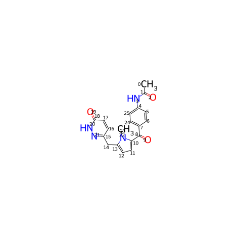 CC(=O)Nc1ccc(C(=O)c2ccc(Cc3ccc(=O)[nH]n3)n2C)cc1